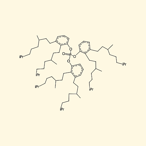 CC(C)CCCC(C)CCc1cccc(OP(=O)(Oc2cccc(CCC(C)CCCC(C)C)c2CCC(C)CCCC(C)C)Oc2cccc(CCC(C)CCCC(C)C)c2CCC(C)CCCC(C)C)c1CCC(C)CCCC(C)C